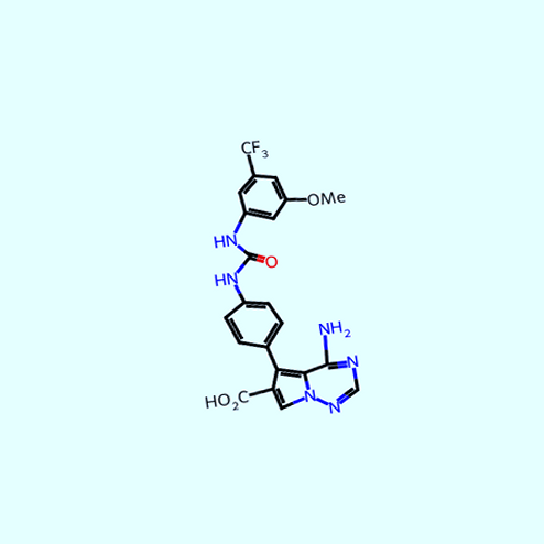 COc1cc(NC(=O)Nc2ccc(-c3c(C(=O)O)cn4ncnc(N)c34)cc2)cc(C(F)(F)F)c1